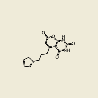 O=c1[nH]c(=O)c2c(CCCS3=CC=CC3)cc(=O)oc2[nH]1